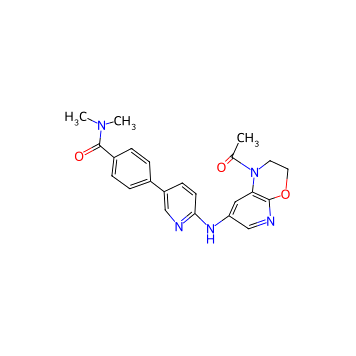 CC(=O)N1CCOc2ncc(Nc3ccc(-c4ccc(C(=O)N(C)C)cc4)cn3)cc21